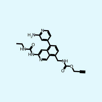 C#CCOC(=O)NCc1ccc(-c2ccnc(N)c2)c2cc(NC(=O)NCC)ncc12